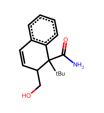 CC(C)(C)C1(C(N)=O)c2ccccc2C=CC1CO